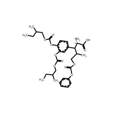 CCC(C)COC(=O)Oc1ccc(C(C(C)COC(=O)Oc2ccccc2)[C@H](N)C(=O)O)cc1OC(=O)OCC(C)CC